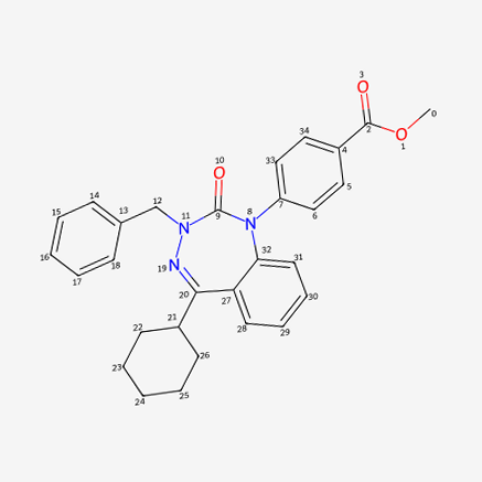 COC(=O)c1ccc(N2C(=O)N(Cc3ccccc3)N=C(C3CCCCC3)c3ccccc32)cc1